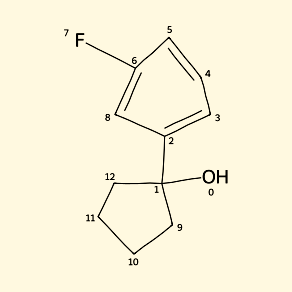 OC1(c2cccc(F)c2)CCCC1